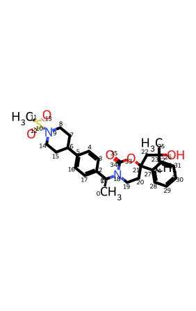 C[C@@H](c1ccc(C2CCN(S(C)(=O)=O)CC2)cc1)N1CCC(CC(C)(C)O)(c2ccccc2)OC1=O